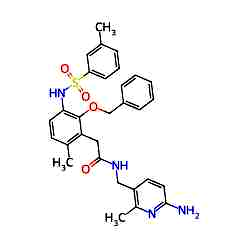 Cc1cccc(S(=O)(=O)Nc2ccc(C)c(CC(=O)NCc3ccc(N)nc3C)c2OCc2ccccc2)c1